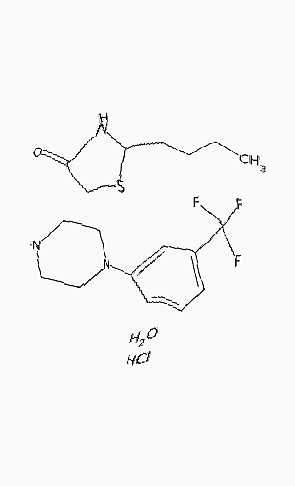 CCCCC1NC(=O)CS1.Cl.FC(F)(F)c1cccc(N2CC[N]CC2)c1.O